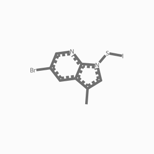 Cc1cn(SI)c2ncc(Br)cc12